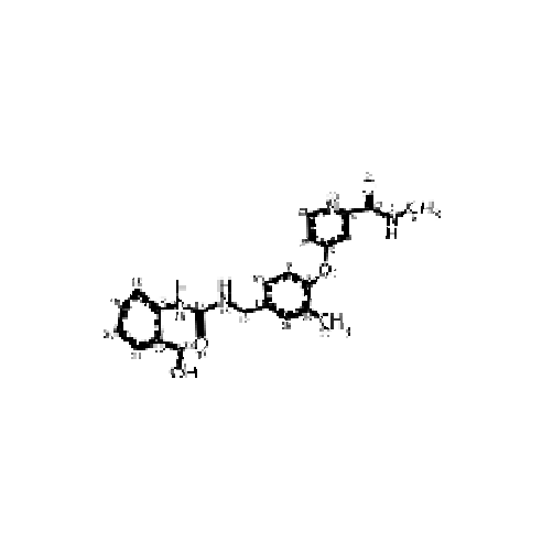 CNC(=O)c1cc(Oc2ccc(CNC(=O)Nc3ccccc3CO)cc2C)ccn1